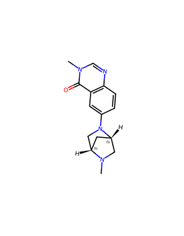 CN1C[C@@H]2C[C@H]1CN2c1ccc2ncn(C)c(=O)c2c1